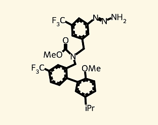 COC(=O)N(Cc1cc(N=NN)cc(C(F)(F)F)c1)Cc1cc(C(F)(F)F)ccc1-c1cc(C(C)C)ccc1OC